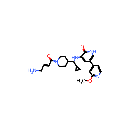 COc1cc(-c2c[nH]c(=O)c(NC(C3CC3)C3CCN(C(=O)/C=C/CN)CC3)c2)ccn1